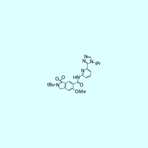 COc1cc2c(cc1C(=O)Nc1cccc(-c3nncn3C(C)C)n1)S(=O)(=O)N(C(C)(C)C)C2